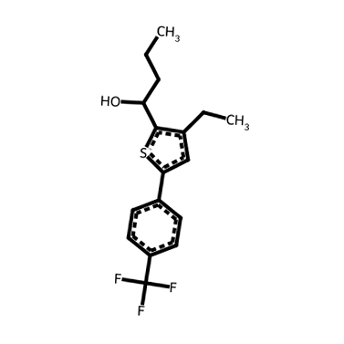 CCCC(O)c1sc(-c2ccc(C(F)(F)F)cc2)cc1CC